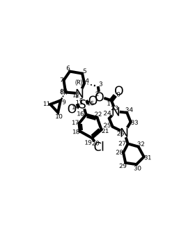 O=C(OC[C@H]1CCC[C@@H](C2CC2)N1S(=O)(=O)c1ccc(Cl)cc1)N1CCN(C2CCCCC2)CC1